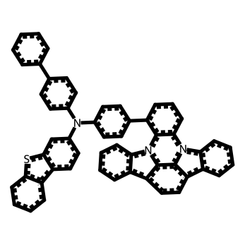 c1ccc(-c2ccc(N(c3ccc(-c4cccc5c4n4c6ccccc6c6ccc7c8ccccc8n5c7c64)cc3)c3ccc4c(c3)sc3ccccc34)cc2)cc1